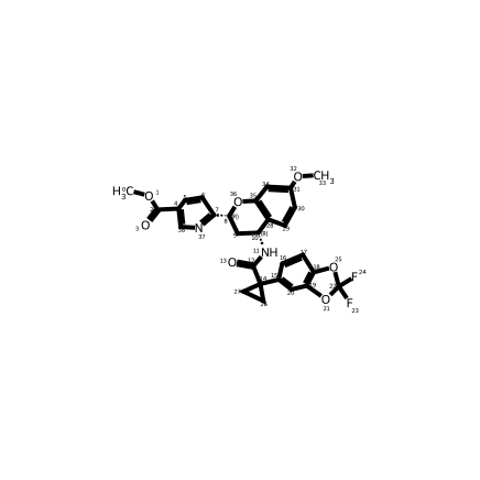 COC(=O)c1ccc([C@H]2C[C@@H](NC(=O)C3(c4ccc5c(c4)OC(F)(F)O5)CC3)c3ccc(OC)cc3O2)nc1